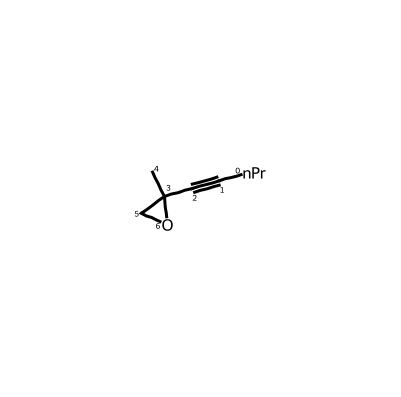 C[CH]CC#CC1(C)CO1